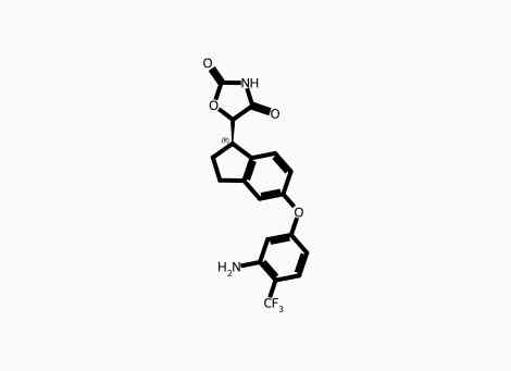 Nc1cc(Oc2ccc3c(c2)CC[C@H]3C2OC(=O)NC2=O)ccc1C(F)(F)F